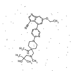 CCOc1cc(-c2ccc(N3CCC(CN(C)CC(C)(C)O)(NC)CC3)nc2)c2c(C#N)cnn2c1